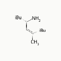 CC[C@@H](C)/C(C)=C\C(N)[C@@H](C)CC